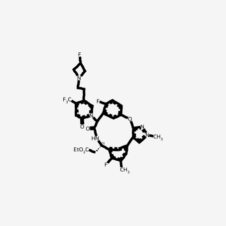 CCOC(=O)C[C@@H]1NC(=O)C(n2cc(CCN3CC(F)C3)c(C(F)(F)F)cc2=O)c2cc(ccc2F)Oc2nn(C)cc2-c2cc(C)c(F)c1c2